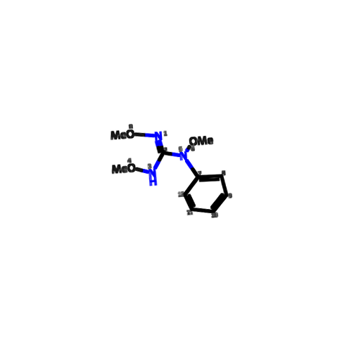 CON=C(NOC)N(OC)c1ccccc1